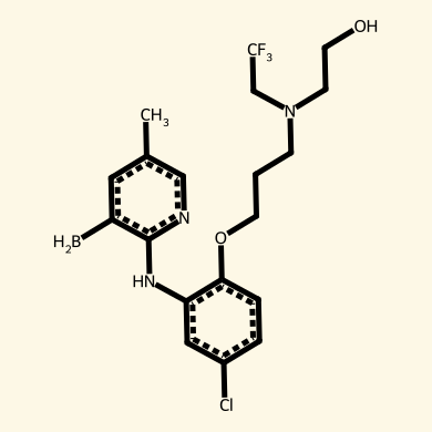 Bc1cc(C)cnc1Nc1cc(Cl)ccc1OCCCN(CCO)CC(F)(F)F